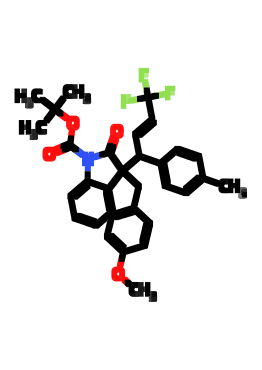 COc1ccc(CC2(C(/C=C/C(F)(F)F)c3ccc(C)cc3)C(=O)N(C(=O)OC(C)(C)C)c3ccccc32)cc1